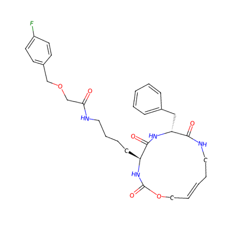 O=C(COCc1ccc(F)cc1)NCCCC[C@@H]1NC(=O)OCC=CCCNC(=O)[C@@H](Cc2ccccc2)NC1=O